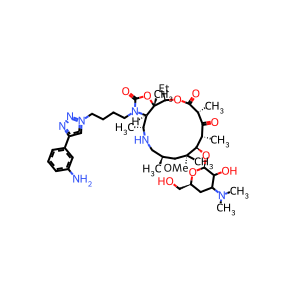 CC[C@H]1OC(=O)[C@H](C)C(=O)[C@H](C)[C@@H](O[C@@H]2O[C@H](CO)CC(N(C)C)C2O)[C@](C)(OC)C[C@@H](C)CN[C@H](C)[C@H]2N(CCCCn3cc(-c4cccc(N)c4)nn3)C(=O)O[C@]12C